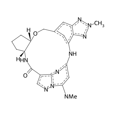 CNc1cc2nc3c(cnn13)C(=O)N[C@@H]1CCC[C@@H]1OCc1cc(c3nn(C)nc3c1)N2